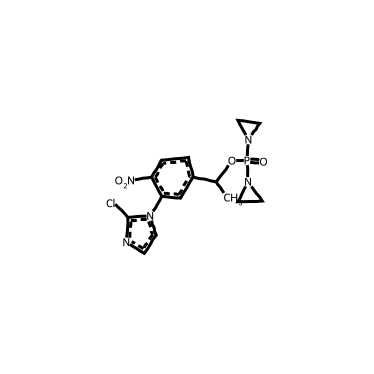 CC(OP(=O)(N1CC1)N1CC1)c1ccc([N+](=O)[O-])c(-n2ccnc2Cl)c1